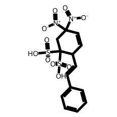 O=[N+]([O-])C1([N+](=O)[O-])C=CC(C=Cc2ccccc2)C(S(=O)(=O)O)(S(=O)(=O)O)C1